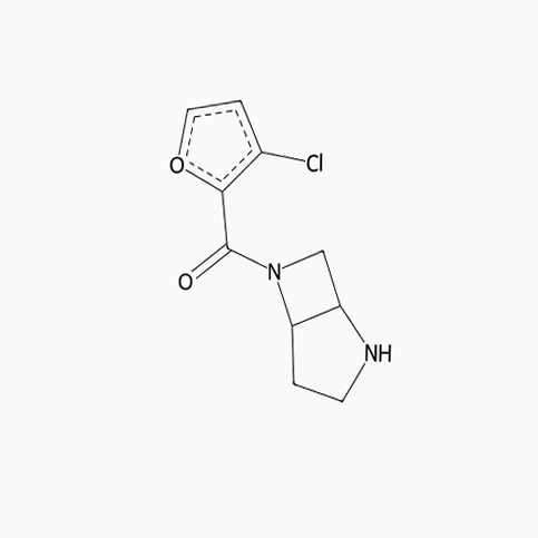 O=C(c1occc1Cl)N1CC2NCCC21